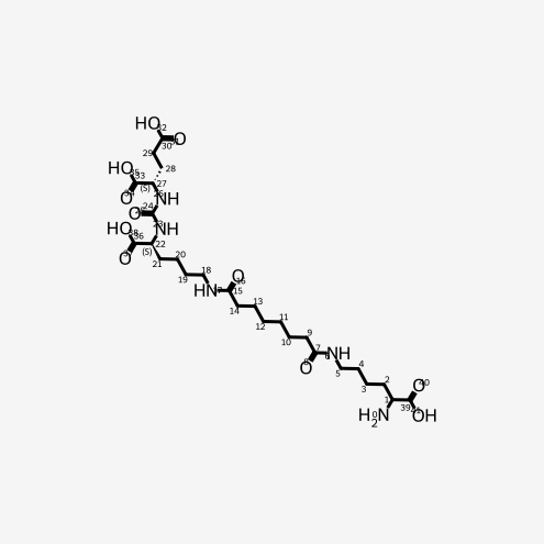 NC(CCCCNC(=O)CCCCCCC(=O)NCCCC[C@H](NC(=O)N[C@@H](CCC(=O)O)C(=O)O)C(=O)O)C(=O)O